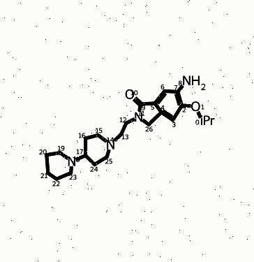 CC(C)Oc1cc2c(cc1N)C(=O)N(CCN1CCC(N3CCCCC3)CC1)C2